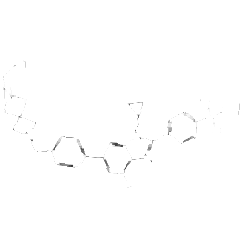 CC(C)CN1CC2(CN(Cc3ccc(-c4cc(F)c5nc(-c6ccc(S(C)(=O)=O)cc6)n(C6CC6)c5c4)cc3)C2)C1